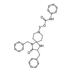 O=C(Nc1ccccc1)OSN1CCC2(CC1)NC(Cc1ccccc1)C(=O)N2Cc1ccccc1